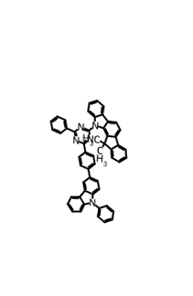 CC1(C)c2ccccc2-c2ccc3c4ccccc4n(-c4nc(-c5ccccc5)nc(-c5ccc(-c6ccc7c(c6)c6ccccc6n7-c6ccccc6)cc5)n4)c3c21